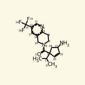 CC(C)C1(C(=O)N2CCc3ncc(C(F)(F)F)cc3C2)C=CC(N)C1